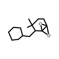 CC1(C)CCC23OC2(O3)C1CC1CCCCC1